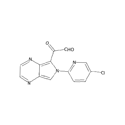 O=CC(=O)c1c2nccnc2cn1-c1ccc(Cl)cn1